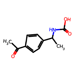 CC(=O)c1ccc(C(C)NC(=O)O)cc1